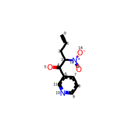 C=CCC(C(=O)c1cccnc1)[N+](=O)[O-]